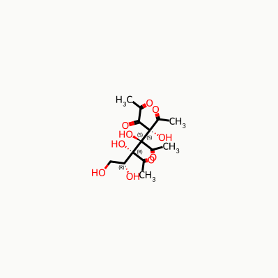 CC(=O)C(=O)[C@@](O)(C(C)=O)[C@](O)(C(C)=O)[C@@](O)(C(C)=O)[C@H](O)CO